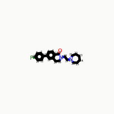 O=C1c2ccc(-c3ccc(F)cc3)cc2CCN1CCN1CCCCCC1